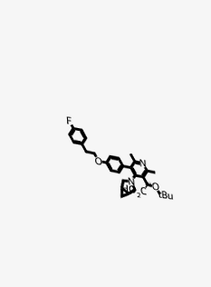 Cc1nc(C)c([C@H](OC(C)(C)C)C(=O)O)c(N2CC3CC3C2)c1-c1ccc(OCCc2ccc(F)cc2)cc1